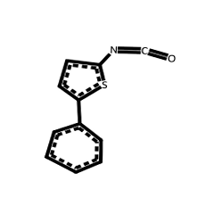 O=C=Nc1ccc(-c2ccccc2)s1